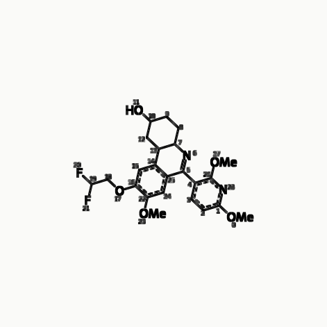 COc1ccc(C2=NC3CCC(O)CC3c3cc(OCC(F)F)c(OC)cc32)c(OC)n1